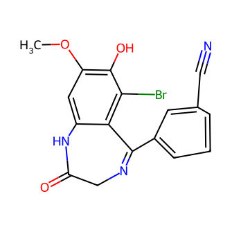 COc1cc2c(c(Br)c1O)C(c1cccc(C#N)c1)=NCC(=O)N2